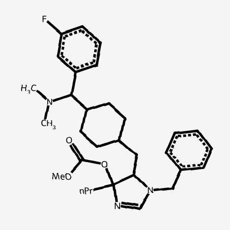 CCCC1(OC(=O)OC)N=CN(Cc2ccccc2)C1CC1CCC(C(c2cccc(F)c2)N(C)C)CC1